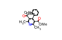 COC(=O)c1c(C)nc(C)c(C(=O)OC)c1-c1ccccc1[N+](=O)[O-]